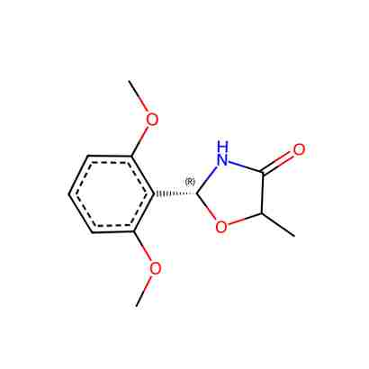 COc1cccc(OC)c1[C@@H]1NC(=O)C(C)O1